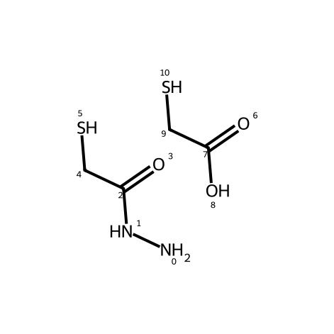 NNC(=O)CS.O=C(O)CS